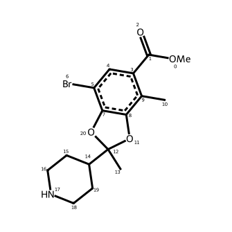 COC(=O)c1cc(Br)c2c(c1C)OC(C)(C1CCNCC1)O2